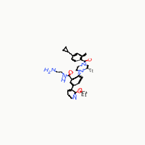 CCOc1ncccc1-c1ccc(N2CCN(C(=O)c3ccc(C4CC4)cc3C)C[C@H]2CC)c(C(=O)NCCN)c1